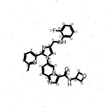 Cc1cccc(-c2nc(CNc3ccccc3F)cn2-c2ccc3ncc(C(=O)NC4COC4)n3c2)n1